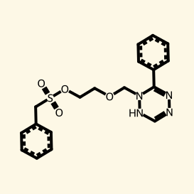 O=S(=O)(Cc1ccccc1)OCCOCN1NC=NN=C1c1ccccc1